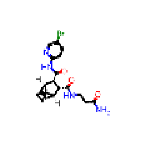 NC(=O)CCNC(=O)[C@H]1[C@H](C(=O)Nc2ccc(Br)cn2)[C@@H]2C=C[C@H]1C21CC1